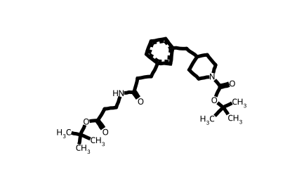 CC(C)(C)OC(=O)CCNC(=O)CCc1cccc(CC2CCN(C(=O)OC(C)(C)C)CC2)c1